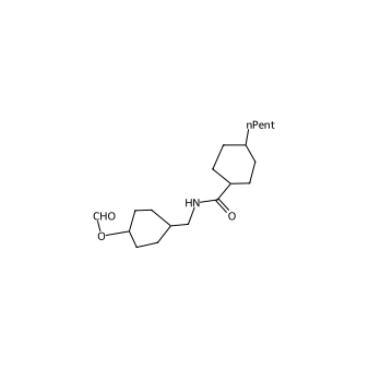 CCCCCC1CCC(C(=O)NCC2CCC(OC=O)CC2)CC1